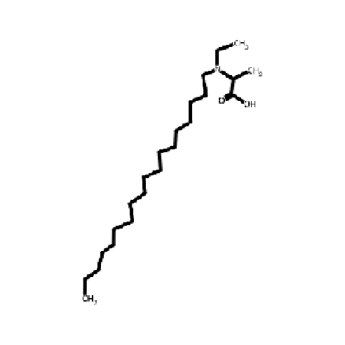 CCCCCCCCCCCCCCCCCCN(CC)C(C)C(=O)O